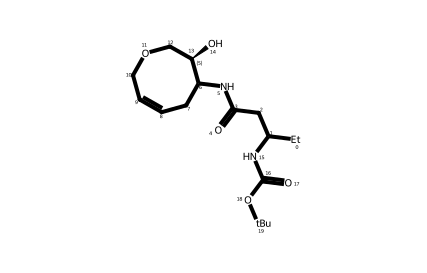 CCC(CC(=O)NC1CC=CCOC[C@H]1O)NC(=O)OC(C)(C)C